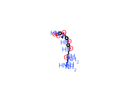 N=C(N)NCCC[C@H](N)C(=O)NCCCCNC(=O)c1ccc(NC(=O)c2ccc(CN(C(=O)c3ccc4c(c3)OCC(=O)N4)C3CC3)cc2)cc1